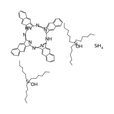 CCCCCC[Si](O)(CCCCCC)CCCCCC.CCCCCC[Si](O)(CCCCCC)CCCCCC.[SiH4].c1ccc2cc3c(cc2c1)-c1nc-3nc2[nH]c(nc3nc([nH]c4nc(n1)-c1cc5ccccc5cc1-4)-c1cc4ccccc4cc1-3)c1cc3ccccc3cc21